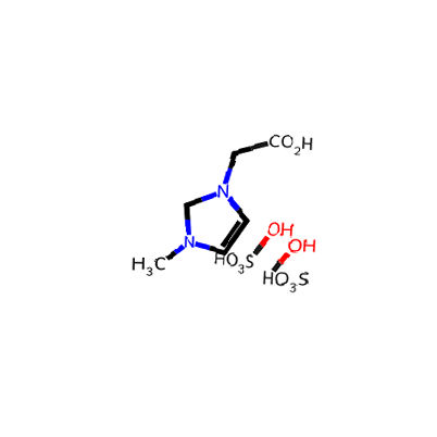 CN1C=CN(CC(=O)O)C1.O=S(=O)(O)O.O=S(=O)(O)O